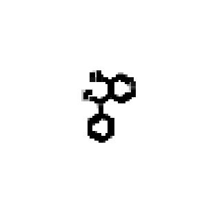 OC(c1ccccc1)c1ccncc1Cl